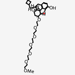 COCCOCCOCCOCCOCCOCCO[C@H]1CC[C@@]2(O)[C@H]3Cc4ccc(O)c5c4[C@@]2(CCN3CC2CCC2)[C@H]1O5